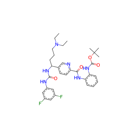 CCN(CC)CCCC(NC(=O)Nc1cc(F)cc(F)c1)c1ccc(C(=O)Nc2ccccc2NC(=O)OC(C)(C)C)nc1